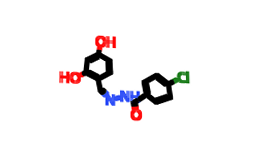 O=C(N/N=C\c1ccc(O)cc1O)c1ccc(Cl)cc1